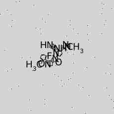 COc1cccc(F)c1-c1nccc2c1CN(c1ccc(-c3cnn(C)c3)c(N[C@@H]3CCNC3)n1)C2=O